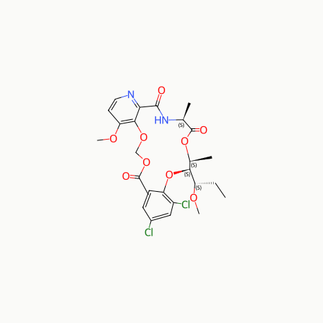 CC[C@H](OC)[C@@H](Oc1ccc(Cl)cc1Cl)[C@H](C)OC(=O)[C@H](C)NC(=O)c1nccc(OC)c1OCOC(C)=O